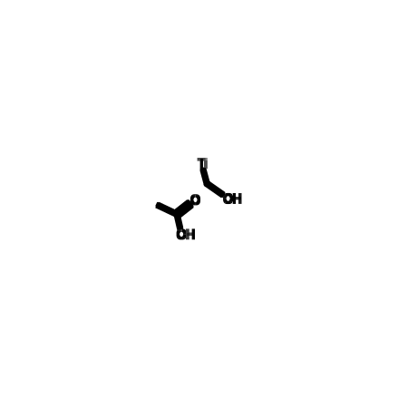 CC(=O)O.O[CH2][Ti]